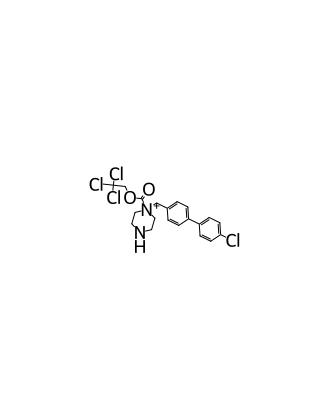 O=C(OCC(Cl)(Cl)Cl)[N+]1(Cc2ccc(-c3ccc(Cl)cc3)cc2)CCNCC1